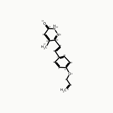 C=CCOc1ccc(C=Cc2n[nH]c(=O)cc2C)cc1